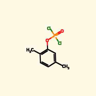 Cc1ccc(C)c(OP(=O)(Cl)Cl)c1